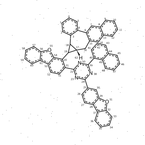 c1ccc2c(c1)-c1cc3ccccc3cc1C[C@H]1C2C1c1c(-c2nc(-c3ccc4c(c3)oc3ccccc34)nc(-c3cccc4ccccc34)n2)ccc2c1oc1ccccc12